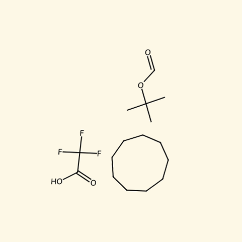 C1CCCCCCCC1.CC(C)(C)OC=O.O=C(O)C(F)(F)F